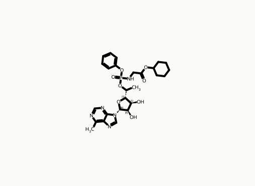 Cc1ncnc2c1ncn2[C@@H]1O[C@H](C(C)OP(=O)(NCC(=O)OC2CCCCC2)Oc2ccccc2)[C@@H](O)[C@H]1O